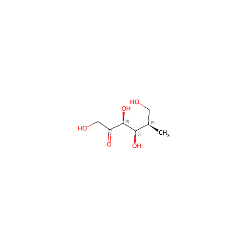 C[C@H](CO)[C@@H](O)[C@H](O)C(=O)CO